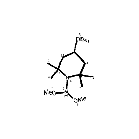 CCCCC1CC(C)(C)N([SiH](OC)OC)C(C)(C)C1